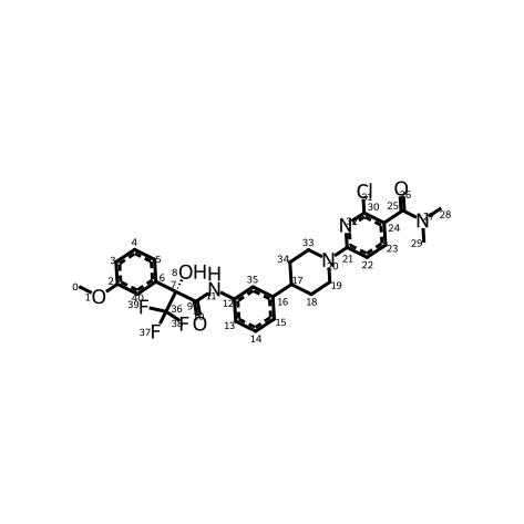 COc1cccc([C@@](O)(C(=O)Nc2cccc(C3CCN(c4ccc(C(=O)N(C)C)c(Cl)n4)CC3)c2)C(F)(F)F)c1